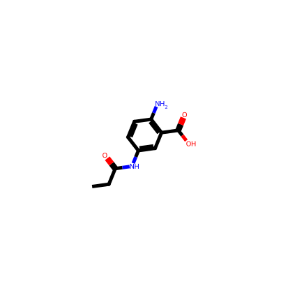 CCC(=O)Nc1ccc(N)c(C(=O)O)c1